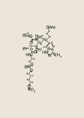 COCCCC(c1ccc2c(C)n[nH]c2c1)[C@@H](C[C@H](NC(=O)OC(C)(C)C)[C@@H](O)C[C@H](C(=O)NCCOC(=O)OCCCCO[N+](=O)[O-])C(C)C)C(C)C